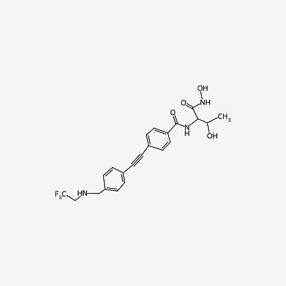 CC(O)C(NC(=O)c1ccc(C#Cc2ccc(CNCC(F)(F)F)cc2)cc1)C(=O)NO